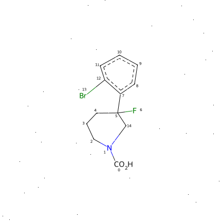 O=C(O)N1CCCC(F)(c2ccccc2Br)C1